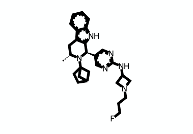 C[C@@H]1Cc2c([nH]c3ccccc23)[C@@H](c2cnc(NC3CN(CCCF)C3)nc2)N1C12CCC(C1)C2